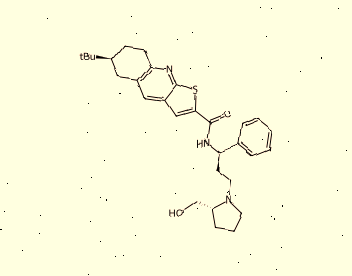 CC(C)(C)[C@H]1CCc2nc3sc(C(=O)N[C@H](CCN4CCC[C@@H]4CO)c4ccccc4)cc3cc2C1